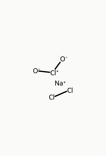 ClCl.[Na+].[O-][Cl+][O-]